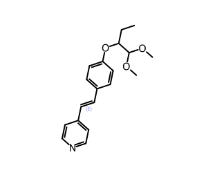 CCC(Oc1ccc(/C=C/c2ccncc2)cc1)C(OC)OC